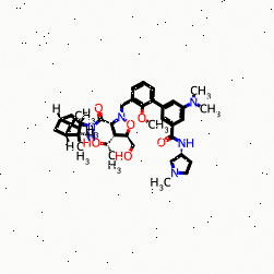 COc1c(CN2O[C@@H](CO)[C@H]([C@H](C)O)[C@H]2C(=O)N[C@H]2C[C@H]3C[C@@H]([C@@H]2C)C3(C)C)cccc1-c1cc(C(=O)N[C@@H]2CCN(C)C2)cc(N(C)C)c1